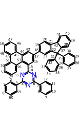 c1ccc(-c2nc(-c3ccccc3)nc(-c3cc(-c4ccc5c(c4)C(c4ccccc4)(c4ccccc4)c4ccccc4-5)cc4c5ccccc5c5ccccc5c34)n2)cc1